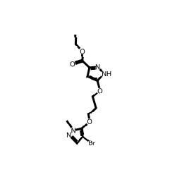 CCOC(=O)c1cc(OCCCOc2c(Br)cnn2C)[nH]n1